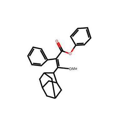 COC(=C(C(=O)Oc1ccccc1)c1ccccc1)C1C2CC3CC(C2)CC1C3